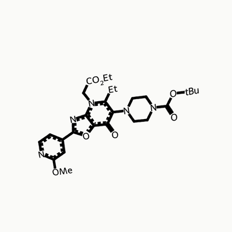 CCOC(=O)Cn1c(CC)c(N2CCN(C(=O)OC(C)(C)C)CC2)c(=O)c2oc(-c3ccnc(OC)c3)nc21